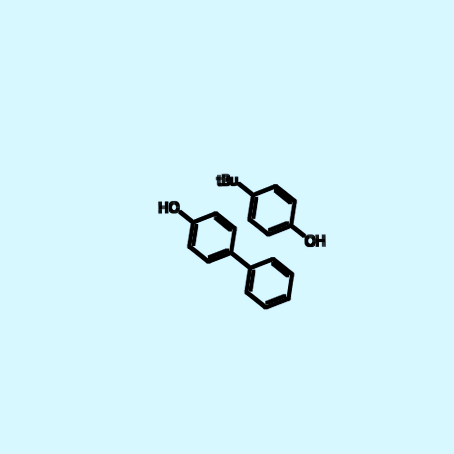 CC(C)(C)c1ccc(O)cc1.Oc1ccc(-c2ccccc2)cc1